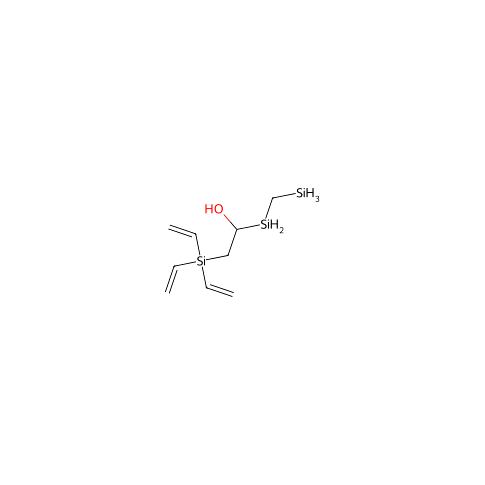 C=C[Si](C=C)(C=C)CC(O)[SiH2]C[SiH3]